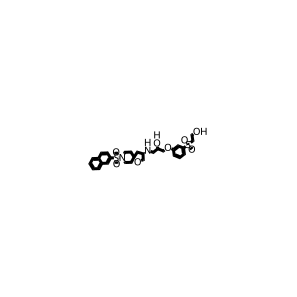 O=S(=O)(CCO)c1cccc(OCC(O)CN[C@@H]2COC3(CCN(S(=O)(=O)c4ccc5ccccc5c4)CC3)C2)c1